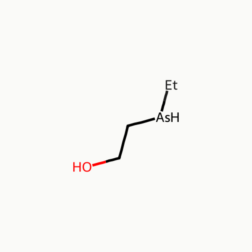 CC[AsH]CCO